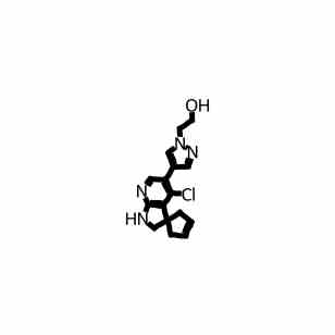 OCCn1cc(-c2cnc3c(c2Cl)C2(CC=CC2)CN3)cn1